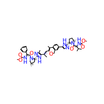 COC(=O)N[C@H](C(=O)N1[C@@H](C)CC[C@H]1c1ncc(-c2ccc3c(c2)COC(/C=C(\C)c2[nH]c([C@@H]4C[C@H](C)CN4C(=O)[C@H](NC(=O)OC)c4ccccc4)nc2C)=C3C)[nH]1)C(C)C